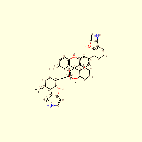 CC1C=CC2=C(C1)C1(c3ccc(C4CC=CC5=C4OC4C=NC54)cc3O2)c2ccc(C3CCC(C)C4C(C)C(/C=C\N)OC34)cc2OC2CC=CCC21